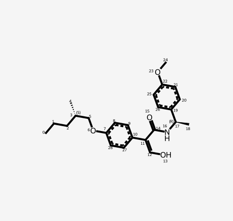 CCC[C@H](C)COc1ccc(C(=CO)C(=O)N[C@H](C)c2ccc(OC)cc2)cc1